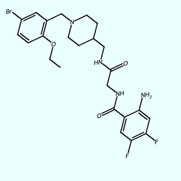 CCOc1ccc(Br)cc1CN1CCC(CNC(=O)CNC(=O)c2cc(F)c(F)cc2N)CC1